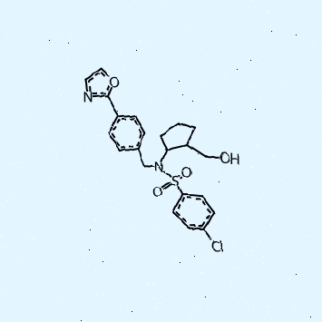 O=S(=O)(c1ccc(Cl)cc1)N(Cc1ccc(-c2ncco2)cc1)C1CCCC1CO